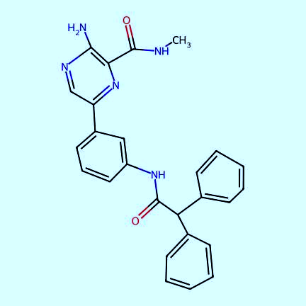 CNC(=O)c1nc(-c2cccc(NC(=O)C(c3ccccc3)c3ccccc3)c2)cnc1N